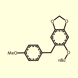 CCCCOc1cc2c(cc1Cc1ccc(OC)cc1)OCO2